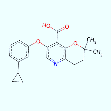 CC1(C)CCc2ncc(Oc3cccc(C4CC4)c3)c(C(=O)O)c2O1